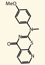 COc1ccc(N(C)c2nc(=O)c3cccnc3s2)cc1